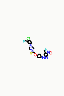 O=Nc1ccc(NC2CCC(OCC(=S)N3CCN(c4ccc(Cl)c(CF)c4)CC3)CC2)cc1CF